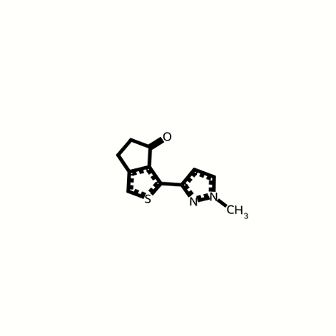 Cn1ccc(-c2scc3c2C(=O)CC3)n1